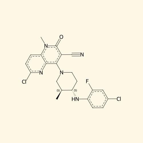 C[C@H]1CN(c2c(C#N)c(=O)n(C)c3ccc(Cl)nc23)CC[C@@H]1Nc1ccc(Cl)cc1F